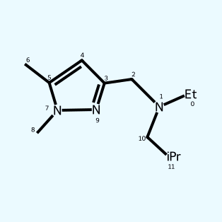 CCN(Cc1cc(C)n(C)n1)CC(C)C